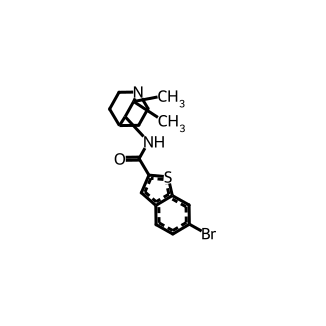 CC1(C)C(NC(=O)c2cc3ccc(Br)cc3s2)C2CCN1CC2